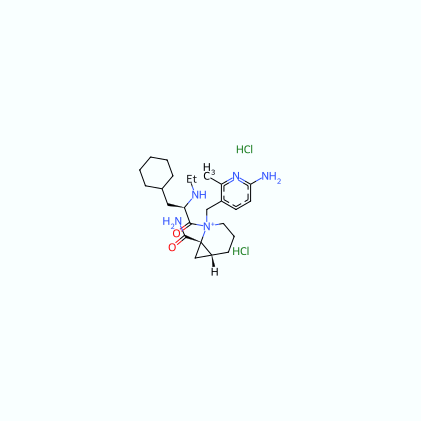 CCN[C@H](CC1CCCCC1)C(=O)[N+]1(Cc2ccc(N)nc2C)CCC[C@@H]2C[C@@]21C(N)=O.Cl.Cl